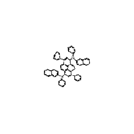 C1=C(c2ccccc2)c2ccc3c(N(c4ccccc4)c4ccc5ccccc5c4)cc(-c4ccccc4)c4c3c2C(=CC4)C1N(c1ccccc1)c1ccc2ccccc2c1